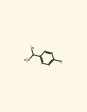 CC(C)C(N)c1ccc(Br)cc1